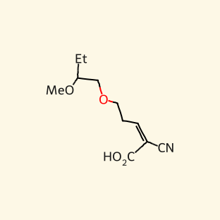 CCC(COCCC=C(C#N)C(=O)O)OC